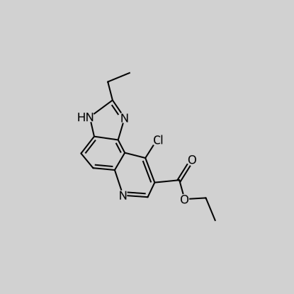 CCOC(=O)c1cnc2ccc3[nH]c(CC)nc3c2c1Cl